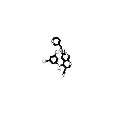 N#Cc1cnc2cnc(NCc3cccnc3)cc2c1Nc1cc(Cl)cc(Cl)c1